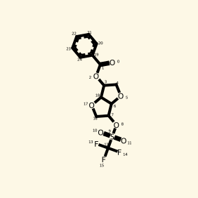 O=C(OC1COC2C(OS(=O)(=O)C(F)(F)F)COC12)c1ccccc1